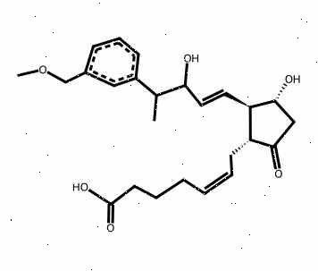 COCc1cccc(C(C)C(O)/C=C/[C@H]2[C@H](O)CC(=O)[C@@H]2C/C=C\CCCC(=O)O)c1